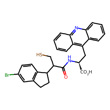 O=C(N[C@@H](Cc1c2ccccc2nc2ccccc12)C(=O)O)C(CS)C1CCc2cc(Br)ccc21